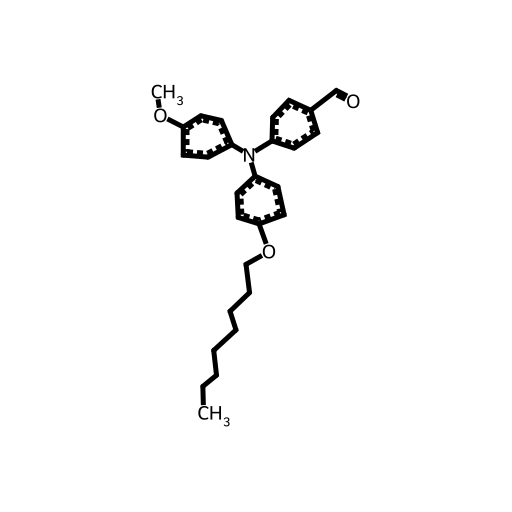 CCCCCCCCOc1ccc(N(c2ccc(C=O)cc2)c2ccc(OC)cc2)cc1